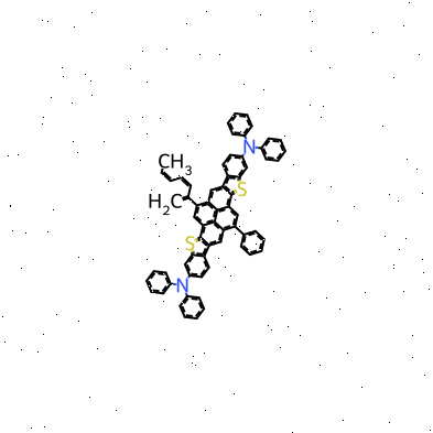 C=C(/C=C\C=C/C)c1cc2c3sc4cc(N(c5ccccc5)c5ccccc5)ccc4c3cc3c(-c4ccccc4)cc4c5sc6cc(N(c7ccccc7)c7ccccc7)ccc6c5cc1c4c32